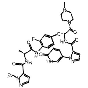 CCn1nccc1C(=O)N[C@@H](C)C(=O)Nc1ccc(C[C@@H](NC(=O)c2ccnn2-c2ccc(=O)[nH]c2)C(=O)N2CCN(C)CC2)cc1F